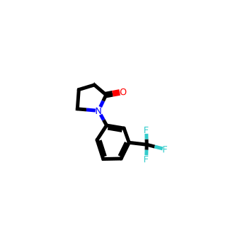 O=C1[CH]CCN1c1cccc(C(F)(F)F)c1